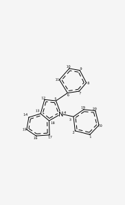 [c]1ccc(-n2c(-c3ccccc3)cc3ccccc32)cc1